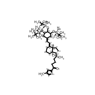 Cc1csc(C(=O)CCC[C@@H](C)[C@H]2CC[C@H]3/C(=C/C=C4CC(O[Si](C)(C)C(C)(C)C)C(O[Si](C)(C)C(C)(C)C)C(O[Si](C)(C)C(C)(C)C)C4)CCC[C@]23C)c1